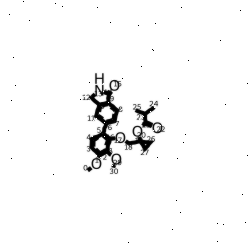 COc1ccc(-c2ccc3c(c2)CNC3=O)c(OCC2(OC(=O)C(C)C)CC2)c1OC